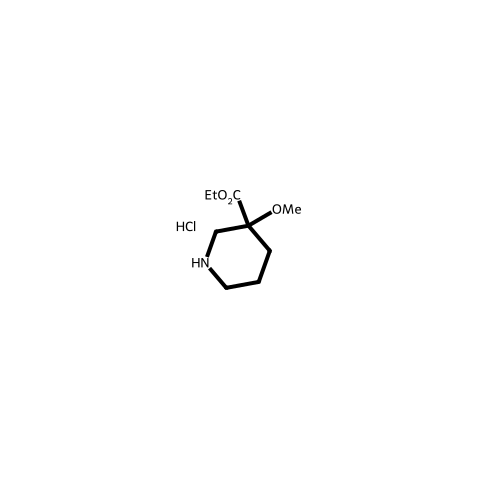 CCOC(=O)C1(OC)CCCNC1.Cl